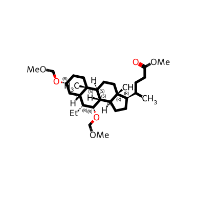 CC[C@H]1[C@@H](OCOC)[C@@H]2[C@H](CC[C@]3(C)[C@@H](C(C)CCC(=O)OC)CC[C@@H]23)[C@@]2(C)CC[C@@H](OCOC)C[C@@H]12